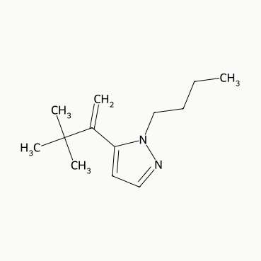 C=C(c1ccnn1CCCC)C(C)(C)C